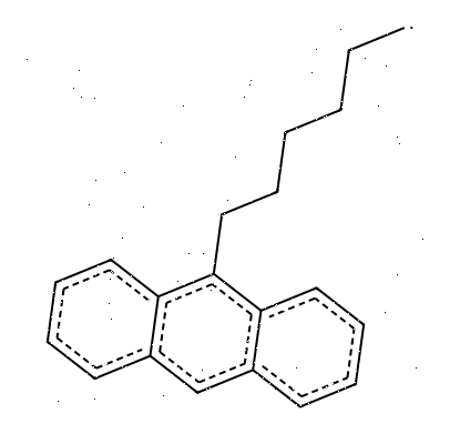 [CH2]CCCCCc1c2ccccc2cc2ccccc12